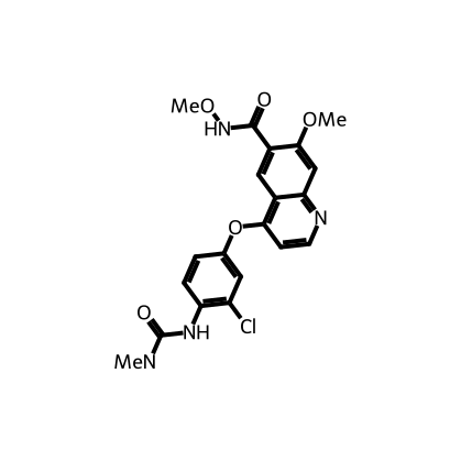 CNC(=O)Nc1ccc(Oc2ccnc3cc(OC)c(C(=O)NOC)cc23)cc1Cl